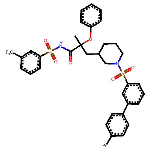 CC(C)c1ccc(-c2cccc(S(=O)(=O)N3CCCC(CC(C)(Oc4ccccc4)C(=O)NS(=O)(=O)c4cccc(C(F)(F)F)c4)C3)c2)cc1